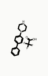 O=C(O)C(F)(F)F.c1ccc(-c2ccc(N3CCNCC3)cc2)cc1